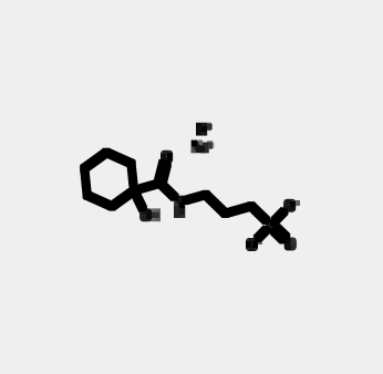 O=C(NCCCP(=O)([O-])[O-])C1(O)CCCCC1.[H+].[Na+]